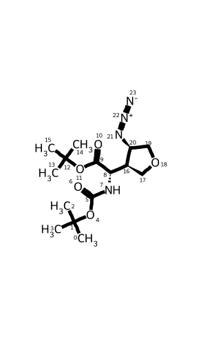 CC(C)(C)OC(=O)N[C@H](C(=O)OC(C)(C)C)[C@@H]1COC[C@@H]1N=[N+]=[N-]